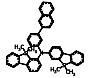 C[Si]1(C)c2ccccc2-c2ccc(N(c3cccc(-c4ccc5ccccc5c4)c3)c3cccc4c3[Si](C)(C)c3ccccc3-4)cc21